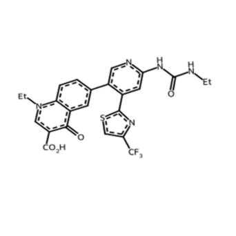 CCNC(=O)Nc1cc(-c2nc(C(F)(F)F)cs2)c(-c2ccc3c(c2)c(=O)c(C(=O)O)cn3CC)cn1